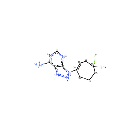 Nc1ncnc2c1nnn2C1=CCC(F)(F)CCC1